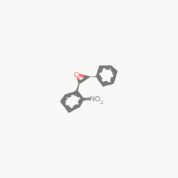 O=[N+]([O-])c1ccccc1[C@H]1O[C@@H]1c1ccccc1